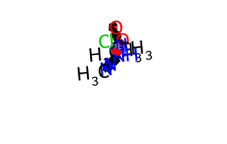 C/C=C1/C=C(c2ccc(-c3ccco3)cc2Cl)C(=O)N(CC)/C1=N/C(C)Nc1ccc(N2CCN(C)CC2)cc1